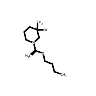 C=C(OCCCC)N1CCCC(C)(O)C1